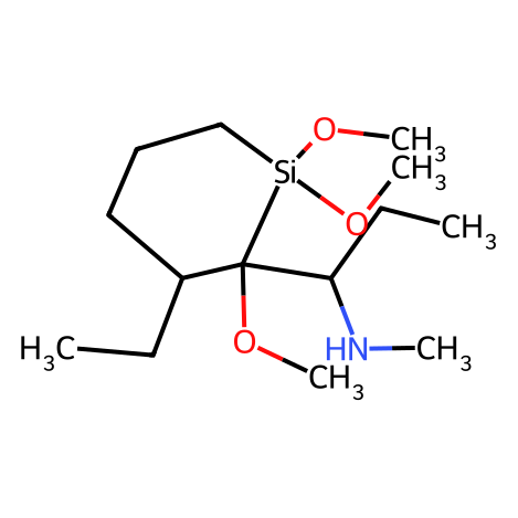 CCC1CCC[Si](OC)(OC)C1(OC)C(CC)NC